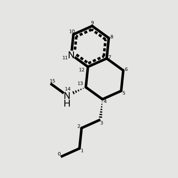 CCCC[C@H]1CCc2cccnc2[C@H]1NC